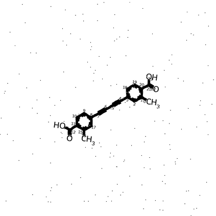 Cc1cc(C#CC#Cc2ccc(C(=O)O)c(C)c2)ccc1C(=O)O